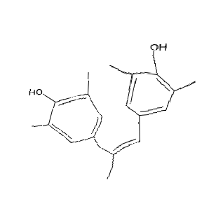 CC(=Cc1cc(C)c(O)c(C)c1)c1cc(C)c(O)c(C)c1